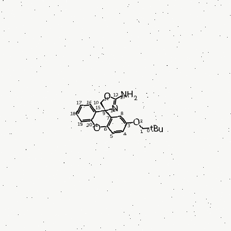 CC(C)(C)COc1ccc2c(c1)[C@]1(COC(N)=N1)c1ccccc1O2